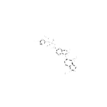 Cc1csc([C@]2(CN)[C@@H]3CN(c4cnc5c(-c6ccc7c(cnn7C)c6Cl)n[nH]c5n4)C[C@@H]32)n1